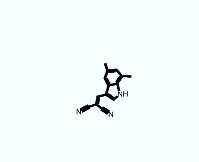 Cc1cc(C)c2[nH]cc(C=C(C#N)C#N)c2c1